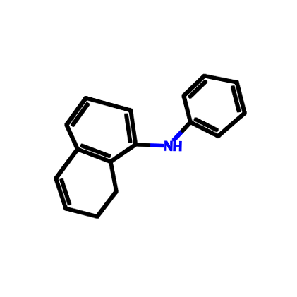 C1=Cc2cccc(Nc3ccccc3)c2CC1